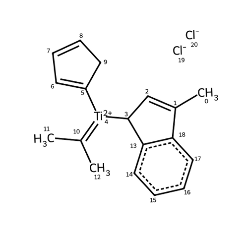 CC1=C[CH]([Ti+2]([C]2=CC=CC2)=[C](C)C)c2ccccc21.[Cl-].[Cl-]